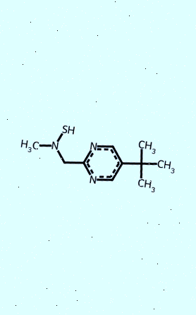 CN(S)Cc1ncc(C(C)(C)C)cn1